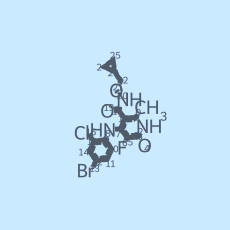 Cc1[nH]c(=O)c(F)c(Nc2ccc(Br)cc2Cl)c1C(=O)NOCC1CC1